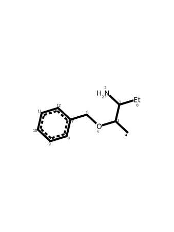 CCC(N)C(C)OCc1ccccc1